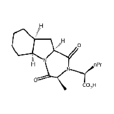 CCC[C@@H](C(=O)O)N1C(=O)[C@@H]2C[C@@H]3CCCC[C@@H]3N2C(=O)[C@@H]1C